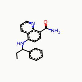 CCC(Nc1ccc(C(N)=O)c2ncccc12)c1ccccc1